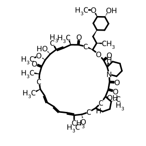 CO[C@H]1C[C@@H]2CC[C@@H](C)[C@@](O)(C2)C(=O)C(=O)N2CCCC[C@H]2C(=O)O[C@H]([C@H](C)C[C@@H]2CC[C@@H](O)[C@H](OC)C2)CC(=O)[C@H](C)/C=C(\C)[C@@H](O)[C@@H](OC)C(=O)[C@H](C)C[C@H](C)/C=C/C=C/C=C/1C